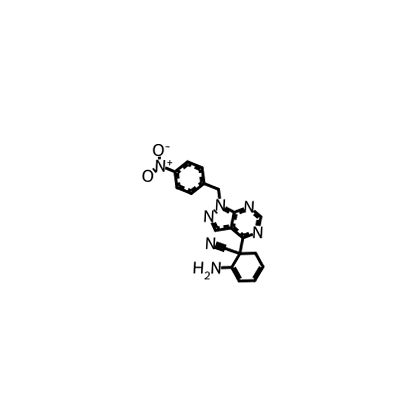 N#CC1(c2ncnc3c2cnn3Cc2ccc([N+](=O)[O-])cc2)CC=CC=C1N